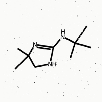 CC1(C)CNC(NC(C)(C)C)=N1